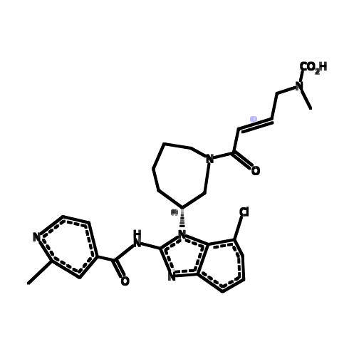 Cc1cc(C(=O)Nc2nc3cccc(Cl)c3n2[C@@H]2CCCCN(C(=O)/C=C/CN(C)C(=O)O)C2)ccn1